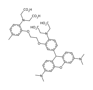 Cc1ccc(N(CC(=O)O)CC(=O)O)c(OCCOc2cc(C3c4ccc(N(C)C)cc4Oc4cc(N(C)C)ccc43)ccc2N(CC(=O)O)CC(=O)O)c1